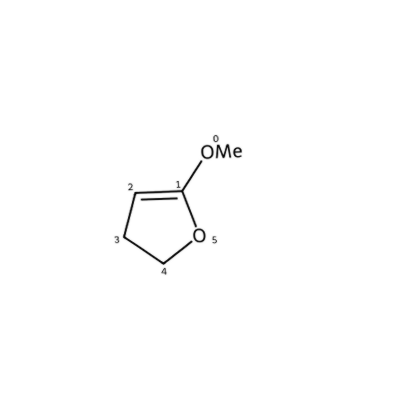 COC1=CCCO1